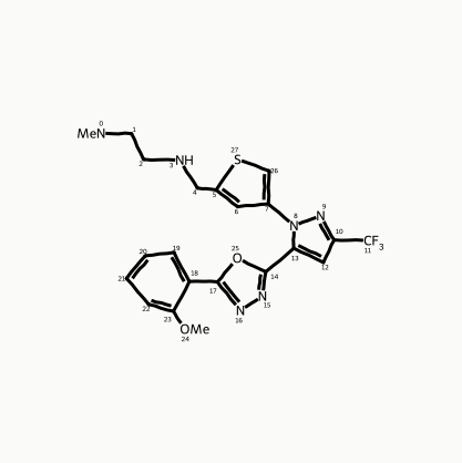 CNCCNCc1cc(-n2nc(C(F)(F)F)cc2-c2nnc(-c3ccccc3OC)o2)cs1